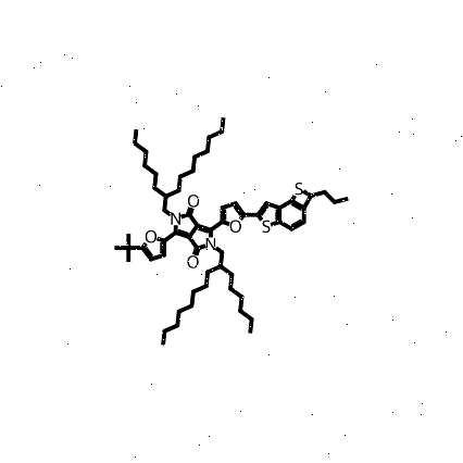 CCCCCCCCC(CCCCCC)CN1C(=O)C2=C(c3ccc(C(C)(C)C)o3)N(CC(CCCCCC)CCCCCCCC)C(=O)C2=C1c1ccc(-c2cc3c4c(ccc3s2)C(CCC)S4)o1